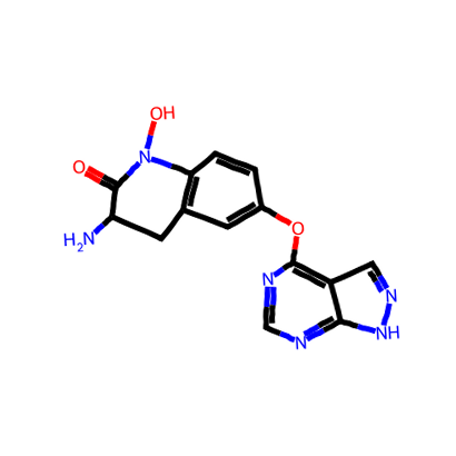 NC1Cc2cc(Oc3ncnc4[nH]ncc34)ccc2N(O)C1=O